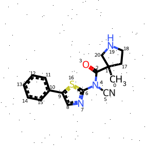 CC1(C(=O)N(C#N)c2ncc(-c3ccccc3)s2)CCNC1